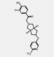 Cc1ccc(OC2C[C@@H]3CN(CC(=O)c4ccc(O)c(F)c4)C[C@@H]3C2)cn1